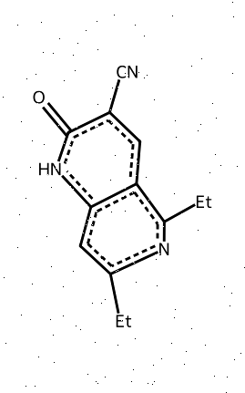 CCc1cc2[nH]c(=O)c(C#N)cc2c(CC)n1